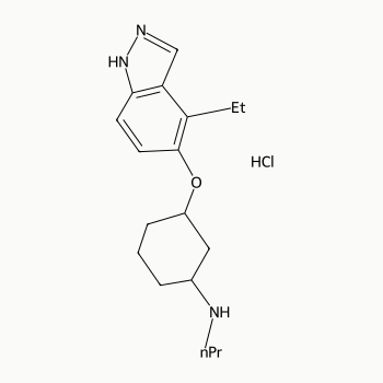 CCCNC1CCCC(Oc2ccc3[nH]ncc3c2CC)C1.Cl